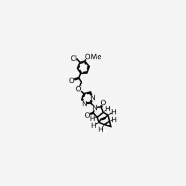 COc1ccc(C(=O)COc2cnc(N3C(=O)[C@@H]4[C@@H]5C=C[C@@H]([C@H]6C[C@@H]56)[C@@H]4C3=O)nc2)cc1Cl